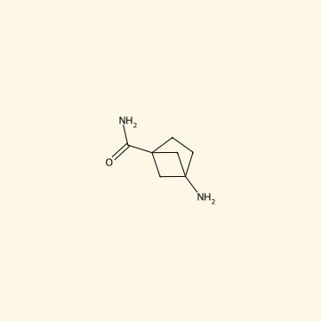 NC(=O)C12CCC(N)(C1)C2